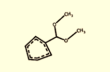 CO[C](OC)c1ccccc1